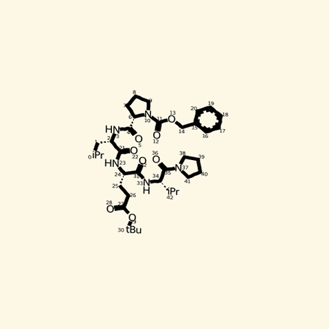 CC(C)C[C@H](NC(=O)[C@@H]1CCCN1C(=O)OCc1ccccc1)C(=O)N[C@@H](CCC(=O)OC(C)(C)C)C(=O)N[C@H](C(=O)N1CCCC1)C(C)C